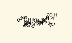 CCCC[C@H](NC(=O)CNC(=O)C1CC(=O)CN1)C(=O)NCC(=O)N[C@@H](CC(C)C)C(=O)N(CCC)CC(=O)NC(Cc1c[nH]c2ccccc12)C(=O)N(CCC)CC(=O)O